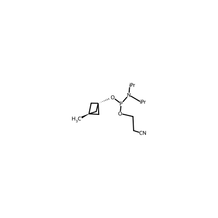 CC(C)N(C(C)C)P(OCCC#N)O[C@]12C[C@@](C)(C1)C2